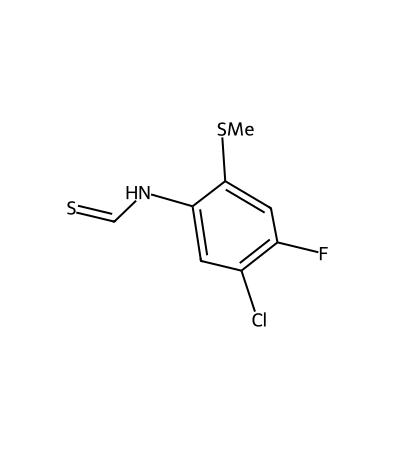 CSc1cc(F)c(Cl)cc1NC=S